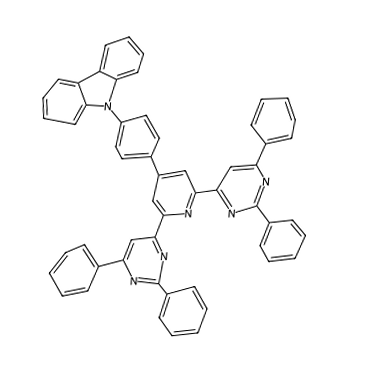 c1ccc(-c2cc(-c3cc(-c4ccc(-n5c6ccccc6c6ccccc65)cc4)cc(-c4cc(-c5ccccc5)nc(-c5ccccc5)n4)n3)nc(-c3ccccc3)n2)cc1